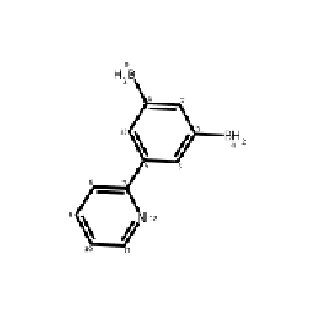 Bc1cc(B)cc(-c2ccccn2)c1